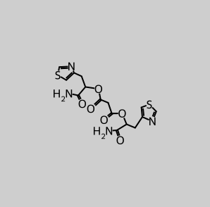 NC(=O)C(Cc1cscn1)OC(=O)CC(=O)OC(Cc1cscn1)C(N)=O